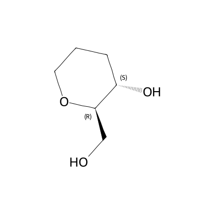 OC[C@H]1OCCC[C@@H]1O